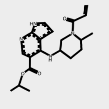 C=CC(=O)N1CC(Nc2c(C(=O)OC(C)C)cnc3[nH]ccc23)CCC1C